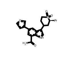 CC(C)[C@H]1CC(c2c[nH]c3c(C(N)=O)cc(-c4ccoc4)cc23)CCS1(=O)=O